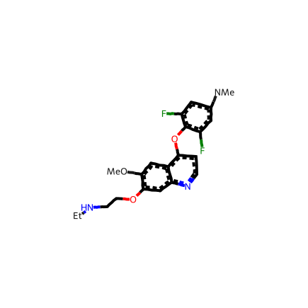 CCNCCOc1cc2nccc(Oc3c(F)cc(NC)cc3F)c2cc1OC